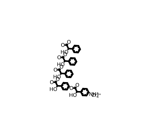 O=C([O-])C(O)c1ccccc1.O=C([O-])C(O)c1ccccc1.O=C([O-])C(O)c1ccccc1.O=C([O-])C(O)c1ccccc1.O=C([O-])C(O)c1ccccc1.[NH4+].[Zr+4]